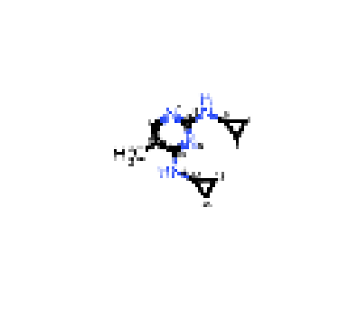 Cc1cnc(NC2CC2)nc1NC1CC1